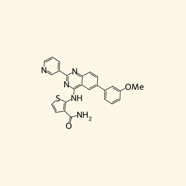 COc1cccc(-c2ccc3nc(-c4cccnc4)nc(Nc4sccc4C(N)=O)c3c2)c1